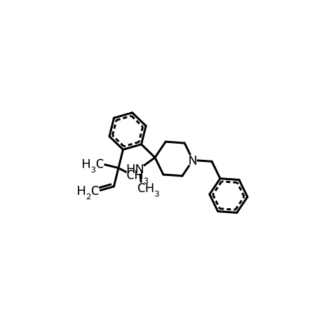 C=CC(C)(C)c1ccccc1C1(NC)CCN(Cc2ccccc2)CC1